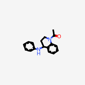 CC(=O)N1CCC(Nc2ccccc2)c2ccccc21